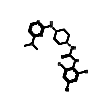 CN(C)c1ccnc(N[C@H]2CC[C@@H](NC(=O)Nc3c(Cl)cc(Cl)cc3Cl)CC2)n1